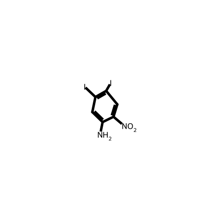 Nc1cc(I)c(I)cc1[N+](=O)[O-]